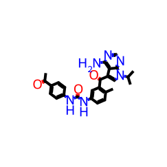 CC(=O)c1ccc(NC(=O)Nc2ccc(C)c(C(=O)c3cn(C(C)C)c4ncnc(N)c34)c2)cc1